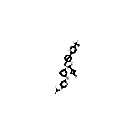 O=C(N(CC12CCC(c3ccc(C(F)(F)F)cn3)(CC1)CC2)c1cccc(Nc2ccc(OC(F)F)cn2)c1)C12CC(F)(C1)C2